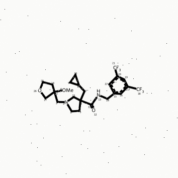 COC1(CN2CCC(CC3CC3)(C(=O)NCc3cc(C(F)(F)F)cc(C(F)(F)F)c3)C2)CCOC1